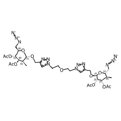 CC(=O)O[C@@H]1[C@@H](OCc2cn(CCOCCn3cc(CO[C@H]4O[C@H](CN=[N+]=[N-])[C@@H](OC(C)=O)[C@H](OC(C)=O)[C@@H]4C)nn3)nn2)O[C@H](CN=[N+]=[N-])[C@@H](C)[C@@H]1OC(C)=O